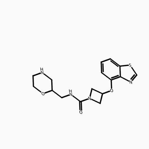 O=C(NCC1CNCCO1)N1CC(Oc2cccc3scnc23)C1